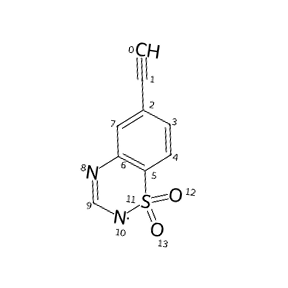 C#Cc1ccc2c(c1)N=C[N]S2(=O)=O